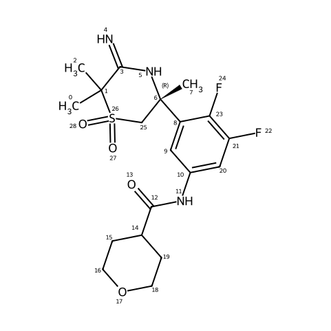 CC1(C)C(=N)N[C@](C)(c2cc(NC(=O)C3CCOCC3)cc(F)c2F)CS1(=O)=O